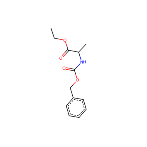 CCOC(=O)C(C)NC(=O)OCc1ccccc1